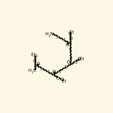 C=CCN(CCOCCOCC)C(=O)CCSCCCCSCCCN(CCOCCOCC)C(=O)CCSCCCCSCCCN(CCOCCOCC)C(=O)CCSCCCCSCCCN(CCOCCOCC)C(=O)CCSCCCCSCCCN